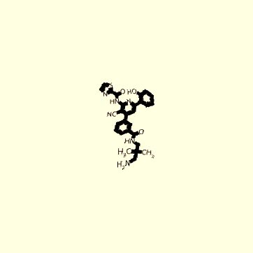 CC(C)(CN)CNC(=O)c1cccc(-c2cc(-c3ccccc3O)nc(NC(=O)c3nccs3)c2C#N)c1